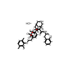 Cc1ccc(C)c(OCCc2ccc(C3=C(C(=O)NC(C)Cc4ccccc4Cl)[C@H]4CNCC(C3)N4C(=O)OC(C)(C)C(Cl)(Cl)Cl)cc2)c1C.Cl